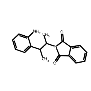 CC(c1ccccc1N)C(C)N1C(=O)c2ccccc2C1=O